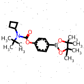 CC(C)(C)N(C(=O)Oc1ccc(B2OC(C)(C)C(C)(C)O2)cc1)C1CCC1